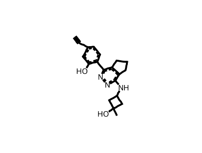 C#Cc1ccc(-c2nnc(NC3CC(C)(O)C3)c3c2CCC3)c(O)c1